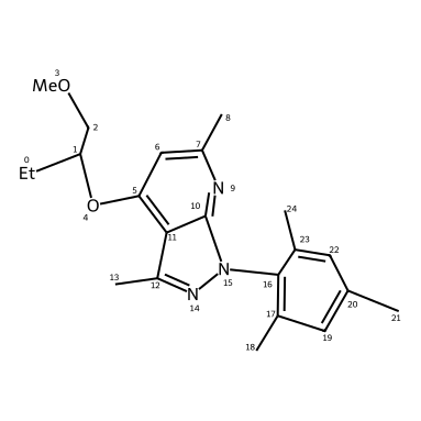 CCC(COC)Oc1cc(C)nc2c1c(C)nn2-c1c(C)cc(C)cc1C